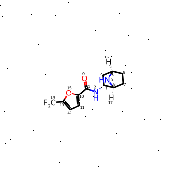 O=C(N[C@@H]1C[C@H]2CC[C@@H]1N2)c1ccc(C(F)(F)F)o1